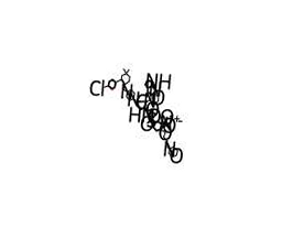 CC1(C)CCC(CN2CCN(c3ccc(C(=O)NS(=O)(=O)c4ccc(OCCCN5CCOCC5)c([N+](=O)[O-])c4)c(N4CCOc5nc6[nH]ccc6cc54)c3)CC2)=C(c2ccc(Cl)cc2)C1